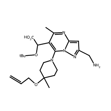 C=CCOC1(C)CCN(c2c(C(OC(C)(C)C)C(=O)O)c(C)nc3cc(CN)nn23)CC1